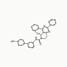 CCCc1ccc(-c2cccc(NC(=O)N3CCc4nc(-c5cccnc5)nc(-c5ccccc5C)c4C3)c2)cc1